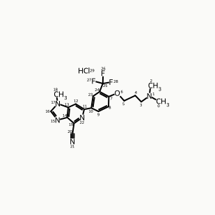 CN(C)CCCOc1ccc(-c2cc3c(ncn3C)c(C#N)n2)cc1C(F)(F)F.Cl